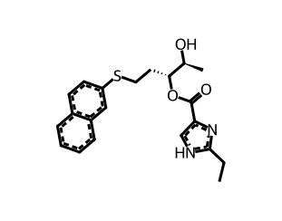 CCc1nc(C(=O)O[C@H](CCSc2ccc3ccccc3c2)[C@H](C)O)c[nH]1